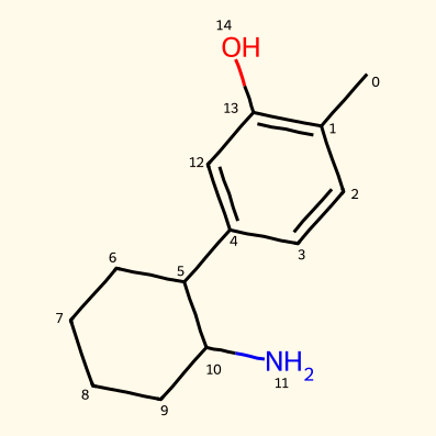 Cc1ccc(C2CCCCC2N)cc1O